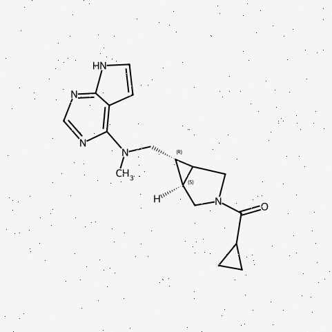 CN(C[C@@H]1C2CN(C(=O)C3CC3)C[C@H]21)c1ncnc2[nH]ccc12